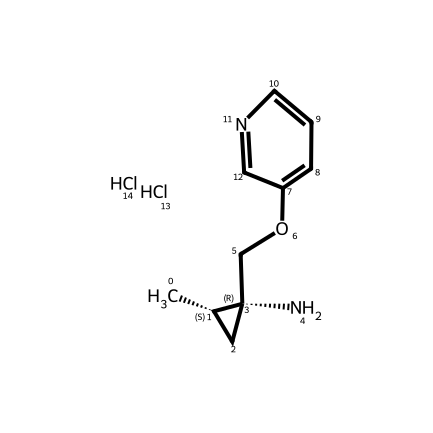 C[C@H]1C[C@]1(N)COc1cccnc1.Cl.Cl